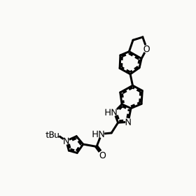 CC(C)(C)n1ccc(C(=O)NCc2nc3ccc(-c4ccc5c(c4)OCC5)cc3[nH]2)c1